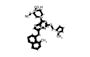 Cc1cccc2cccc(Cc3cnc4c(N5CCN(C(=O)O)[C@@H](CC#N)C5)nc(OC[C@@H]5CCCN5C)nn34)c12